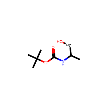 CC([13CH2]O)NC(=O)OC(C)(C)C